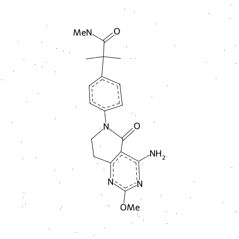 CNC(=O)C(C)(C)c1ccc(N2CCc3nc(OC)nc(N)c3C2=O)cc1